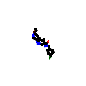 CCSc1cc2c(C)c(C(=O)NCc3ccc(F)cc3)cnc2cn1